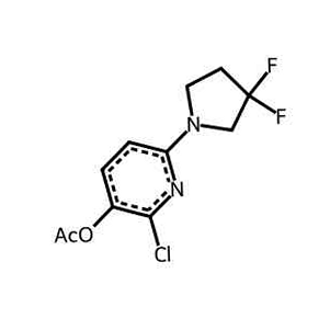 CC(=O)Oc1ccc(N2CCC(F)(F)C2)nc1Cl